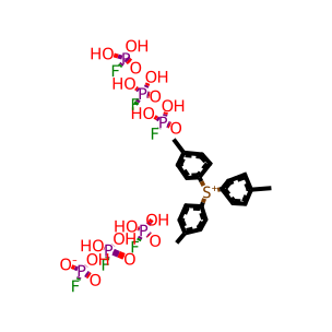 Cc1ccc([S+](c2ccc(C)cc2)c2ccc(C)cc2)cc1.O=P(O)(O)F.O=P(O)(O)F.O=P(O)(O)F.O=P(O)(O)F.O=P(O)(O)F.O=P([O-])(O)F